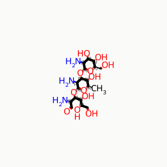 C[C@@H]1O[C@@H](O[C@@H]([C@@H](O)[C@H](O)CO)[C@@H](N)C=O)[C@@H](N)[C@H](O[C@@H]2O[C@H](CO)[C@@H](O)[C@H](O)[C@@H]2N)[C@@H]1O